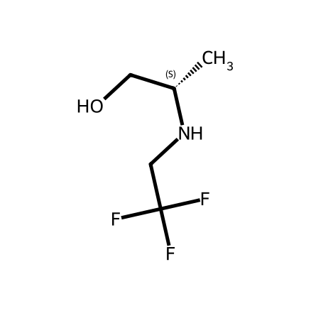 C[C@@H](CO)NCC(F)(F)F